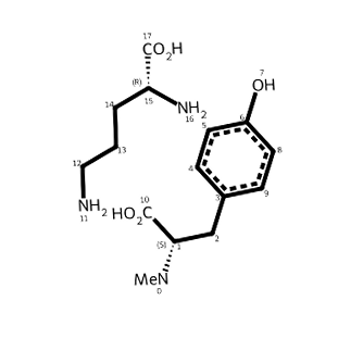 CN[C@@H](Cc1ccc(O)cc1)C(=O)O.NCCC[C@@H](N)C(=O)O